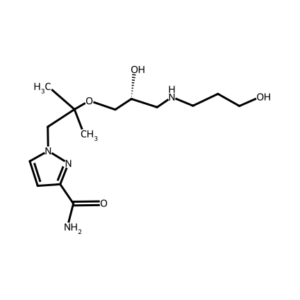 CC(C)(Cn1ccc(C(N)=O)n1)OC[C@H](O)CNCCCO